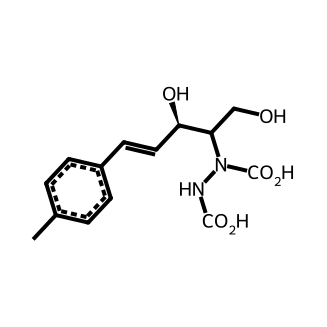 Cc1ccc(C=C[C@@H](O)C(CO)N(NC(=O)O)C(=O)O)cc1